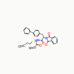 COC(=O)[C@H](CCCC=O)NC(=O)C(Cc1ccc(-c2ccccc2)cc1)N1C(=O)c2ccccc2C1=O